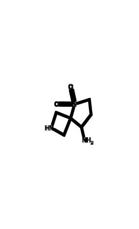 NC1CCS(=O)(=O)C12CNC2